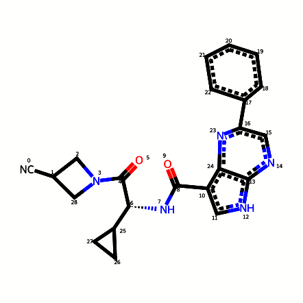 N#CC1CN(C(=O)[C@H](NC(=O)c2c[nH]c3ncc(-c4ccccc4)nc23)C2CC2)C1